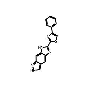 c1ccc(-c2csc(-c3nc4cc5c[nH]nc5cc4[nH]3)n2)cc1